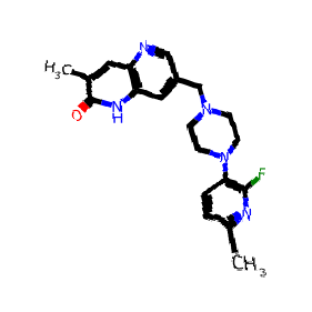 Cc1ccc(N2CCN(Cc3cnc4cc(C)c(=O)[nH]c4c3)CC2)c(F)n1